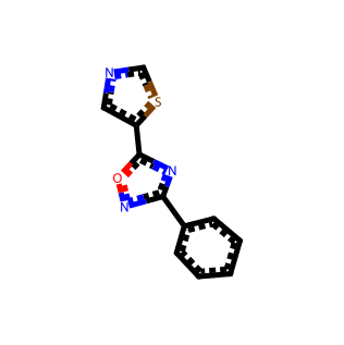 c1ccc(-c2noc(-c3cncs3)n2)cc1